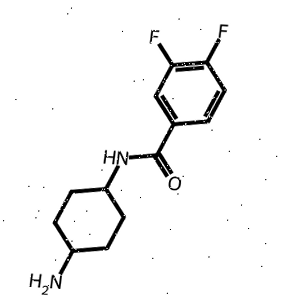 NC1CCC(NC(=O)c2ccc(F)c(F)c2)CC1